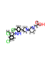 CC(Nc1cc(C2=CCN(C3CCCN(CCC(=O)O)C3)CC2)ccc1Cl)c1ccc(Cl)cc1Cl